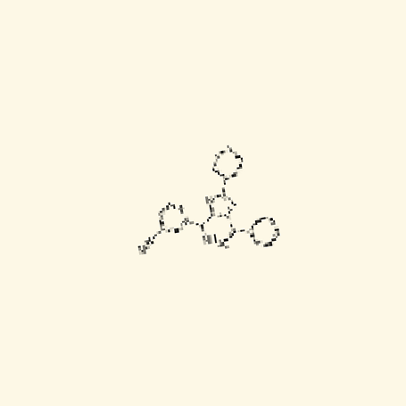 N#Cc1cccc(C(N)c2nc(-c3ccncc3)nn2C(=O)c2ccccc2)c1